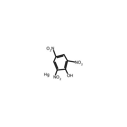 O=[N+]([O-])c1cc([N+](=O)[O-])c(O)c([N+](=O)[O-])c1.[Hg]